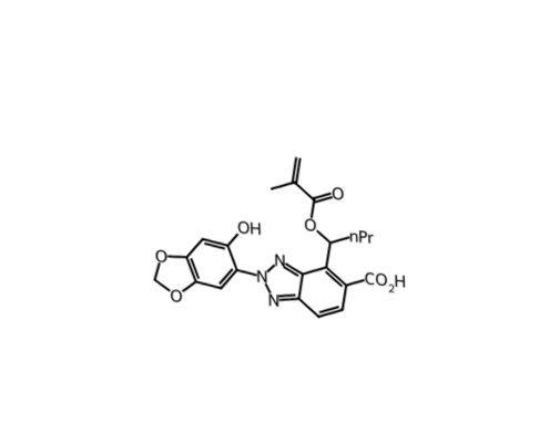 C=C(C)C(=O)OC(CCC)c1c(C(=O)O)ccc2nn(-c3cc4c(cc3O)OCO4)nc12